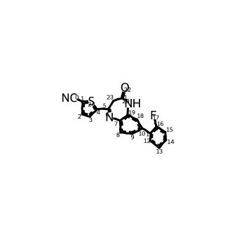 N#Cc1ccc(C2=Nc3ccc(-c4ccccc4F)cc3NC(=O)C2)s1